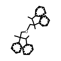 CC(c1ccccc1)C(C)(COCC(C)(c1ccccc1)C(C)c1ccccc1)c1ccccc1